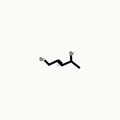 CC(Br)/C=C/CBr